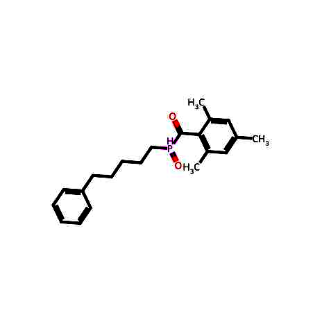 Cc1cc(C)c(C(=O)[PH](=O)CCCCCc2ccccc2)c(C)c1